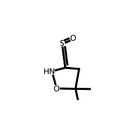 CC1(C)CC(=S=O)NO1